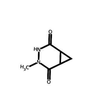 CN1NC(=O)C2CC2C1=O